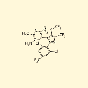 Cc1nc(N)c(-c2c(SC(F)(F)F)c(C(F)(F)F)nn2-c2c(Cl)cc(C(F)(F)F)cc2Cl)cc1N